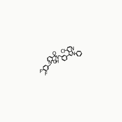 O=C(NCc1cccc(-c2cn(-c3ccccc3)c3nccc(Cl)c23)c1)c1cccn(Cc2ccc(F)c(F)c2)c1=O